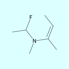 C/C=C(/C)N(C)C(C)F